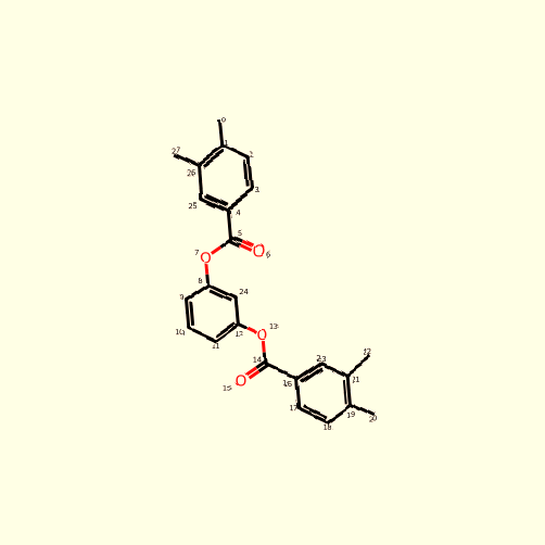 Cc1ccc(C(=O)Oc2cccc(OC(=O)c3ccc(C)c(C)c3)c2)cc1C